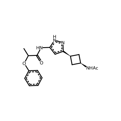 CC(=O)N[C@H]1C[C@@H](c2cc(NC(=O)C(C)Oc3ccccc3)[nH]n2)C1